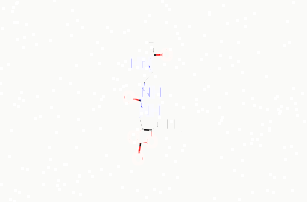 CCC(=O)NCCNC(=O)NCc1oc(=O)oc1C